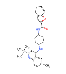 Cc1ccc2nc(C(C)(C)C)cc(NC3CCC(NC(=O)c4cc5c(o4)C=CCC5)CC3)c2c1